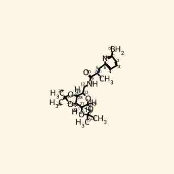 Bc1cccc(/C=C(\C)C(=O)NCC2O[C@@H]3OC(C)(C)O[C@H]3[C@H]3OC(C)(C)O[C@@H]23)n1